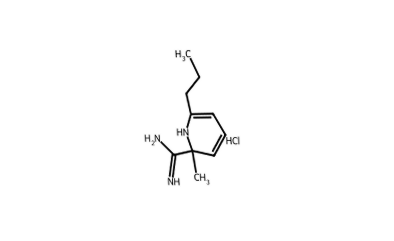 CCCC1=CC=CC(C)(C(=N)N)N1.Cl